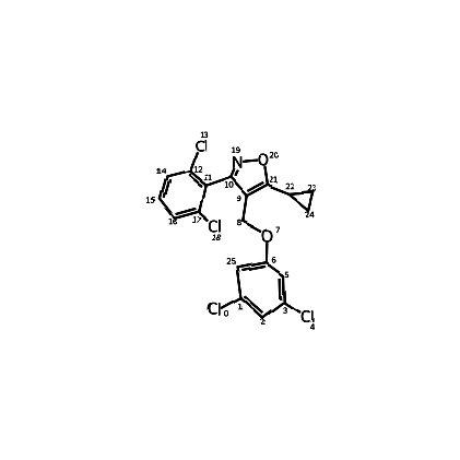 Clc1cc(Cl)cc(OCc2c(-c3c(Cl)cccc3Cl)noc2C2CC2)c1